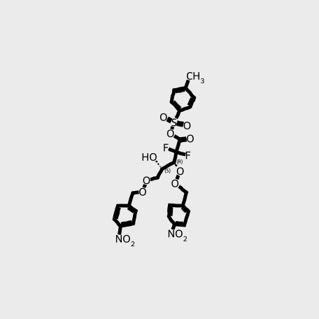 Cc1ccc(S(=O)(=O)OC(=O)C(F)(F)[C@H](OOCc2ccc([N+](=O)[O-])cc2)[C@@H](O)COOCc2ccc([N+](=O)[O-])cc2)cc1